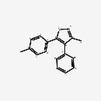 CC1=N[N]C(c2ccc(C)cc2)=C1c1ccccc1